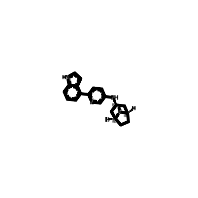 CN1[C@@H]2CC[C@H]1C[C@@H](Nc1ccc(-c3cccc4[nH]ccc34)nc1)C2